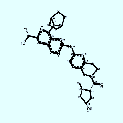 C[C@@H](O)c1cc2cnc(Nc3ccc4c(n3)CCN(C(=O)[C@@H]3C[C@H](O)CN3C)C4)nc2c(N2C3CCC2CC3)n1